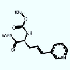 CNC(=O)[C@H](C/C=C/c1cccnc1)NC(=O)OC(C)(C)C